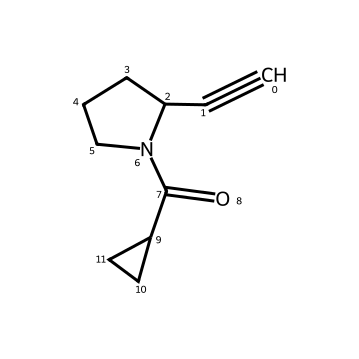 C#CC1CCCN1C(=O)C1CC1